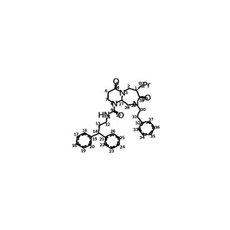 CC(C)[C@@H]1CN2C(=O)CCN(C(=O)NCCC(c3ccccc3)c3ccccc3)C2CN(CCc2ccccc2)C1=O